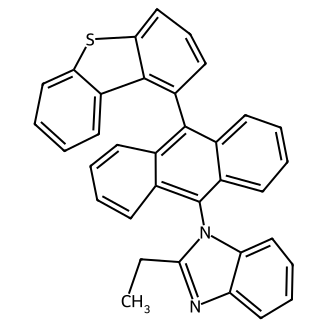 CCc1nc2ccccc2n1-c1c2ccccc2c(-c2cccc3sc4ccccc4c23)c2ccccc12